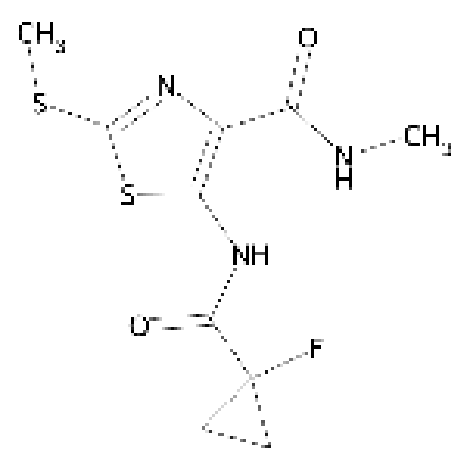 CNC(=O)c1nc(SC)sc1NC(=O)C1(F)CC1